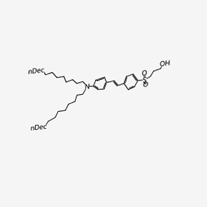 CCCCCCCCCCCCCCCCCCN(CCCCCCCCCCCCCCCCCC)c1ccc(C=Cc2ccc(S(=O)(=O)CCCO)cc2)cc1